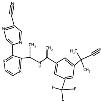 C=C(NC(C)c1nccnc1-c1cnc(C#N)cn1)c1cc(C(F)(F)F)cc(C(C)(C)C#N)c1